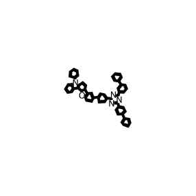 C1=CC2c3cc(-c4ccc(-c5nc(-c6ccc(-c7ccccc7)cc6)nc(-c6cccc(-c7ccccc7)c6)n5)cc4)ccc3OC2c2c1n(-c1ccccc1)c1ccccc21